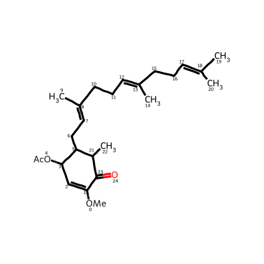 COC1=CC(OC(C)=O)C(C/C=C(\C)CC/C=C(\C)CCC=C(C)C)C(C)C1=O